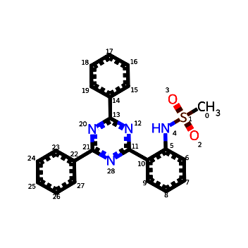 CS(=O)(=O)Nc1ccccc1-c1nc(-c2ccccc2)nc(-c2ccccc2)n1